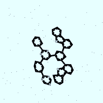 c1ccc(-c2nc(-c3cccc(-c4ncncn4)c3)cc(-c3cc(-c4cccc5c4oc4ccccc45)cc(-c4cccc5c4oc4ccccc45)c3)n2)cc1